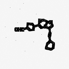 O=Cc1ccc(-c2cn3c(C#Cc4ccccc4)cnc3cn2)cc1